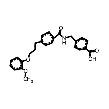 COc1ccccc1OCCCc1ccc(C(=O)NCc2ccc(C(=O)O)cc2)cc1